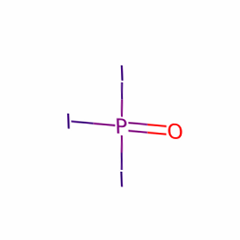 O=P(I)(I)I